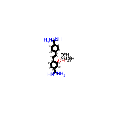 CS(=O)(=O)O.CS(=O)(=O)O.N=C(N)c1ccc(C=Cc2ccc(C(=N)N)cc2O)cc1